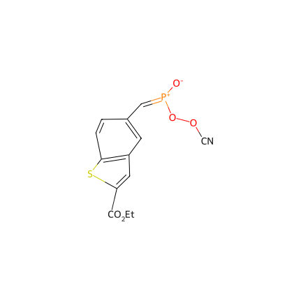 CCOC(=O)c1cc2cc(C=[P+]([O-])OOC#N)ccc2s1